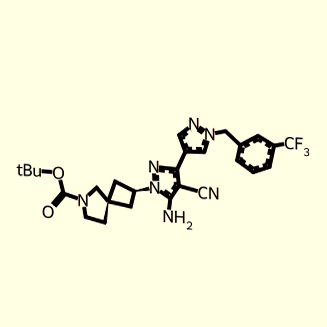 CC(C)(C)OC(=O)N1CC[C@]2(C1)C[C@H](n1nc(-c3cnn(Cc4cccc(C(F)(F)F)c4)c3)c(C#N)c1N)C2